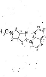 CN1CC2CC(c3cccc4ccccc34)CC2C1